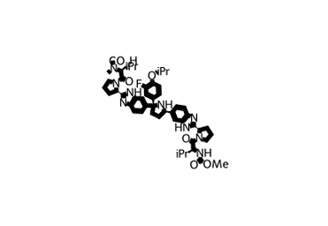 COC(=O)N[C@H](C(=O)N1CCC[C@H]1c1nc2ccc([C@H]3CC[C@](c4ccc(OC(C)C)c(F)c4)(c4ccc5nc([C@@H]6CCCN6C(=O)[C@H](C(C)C)N(C)C(=O)O)[nH]c5c4)N3)cc2[nH]1)C(C)C